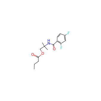 CCCC(=O)OCC(C)(C)NC(=O)c1ccc(F)cc1F